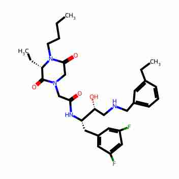 CCCCN1C(=O)CN(CC(=O)N[C@@H](Cc2cc(F)cc(F)c2)[C@H](O)CNCc2cccc(CC)c2)C(=O)[C@@H]1CC